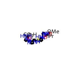 COC(=O)N[C@H](C(=O)N1CCC[C@H]1c1nc2ccc3nc(-c4ccc5c(ccc6nc([C@@H]7CCCN7C(=O)[C@@H](NC(=O)O)C(C)C)[nH]c65)n4)sc3c2[nH]1)C(C)C